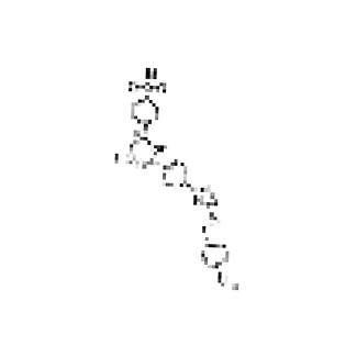 CCS(=O)(=O)c1ccc([C@H](CO)NC(=O)c2ccc(-c3csc(OCc4ccc(C(F)(F)F)cc4)n3)cc2)cc1